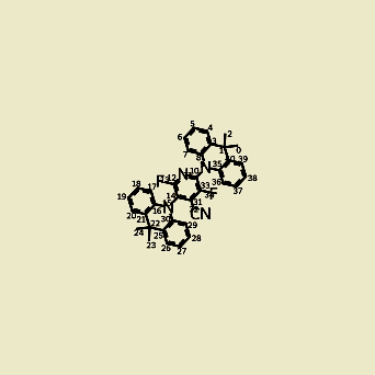 CC1(C)c2ccccc2N(c2nc(F)c(N3c4ccccc4C(C)(C)c4ccccc43)c(C#N)c2F)c2ccccc21